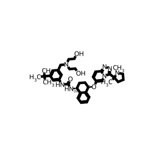 CN1CCCC1(C)c1nnc2ccc(O[C@@H]3CC[C@H](NC(=O)Nc4cc(CN(CCO)CCO)cc(C(C)(C)C)c4)c4ccccc43)cn12